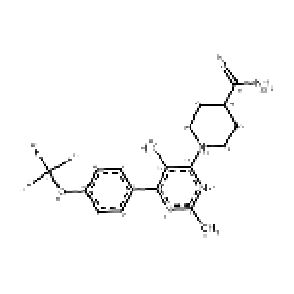 Cc1nc(-c2ccc(OC(F)(F)F)cc2)c(C)c(N2CCC(C(N)=O)CC2)n1